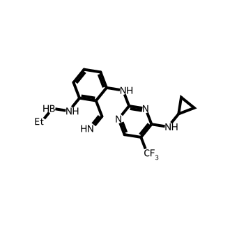 CCBNc1cccc(Nc2ncc(C(F)(F)F)c(NC3CC3)n2)c1C=N